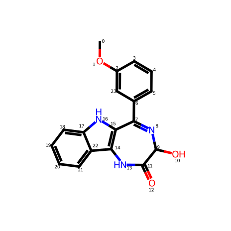 COc1cccc(C2=NC(O)C(=O)Nc3c2[nH]c2ccccc32)c1